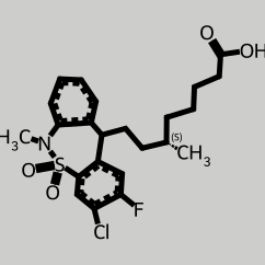 C[C@@H](CCCCC(=O)O)CCC1c2ccccc2N(C)S(=O)(=O)c2cc(Cl)c(F)cc21